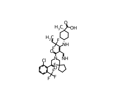 C=CC(F)(F)/C(N[C@H]1CC[C@](C)(C(=O)O)CC1)=C(/C=N)C(=O)N(CC(=O)c1c(Cl)cccc1C(F)(F)F)CC1(F)CCCC1